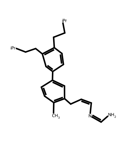 Cc1ccc(-c2ccc(CCC(C)C)c(CCC(C)C)c2)cc1C/C=C\N=C/N